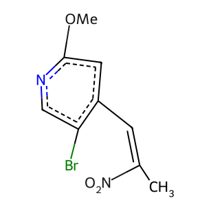 COc1cc(/C=C(/C)[N+](=O)[O-])c(Br)cn1